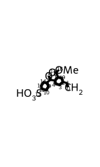 C=Cc1ccc(C(=O)c2ccc(S(=O)(=O)O)cc2)c(C(=O)OC)c1